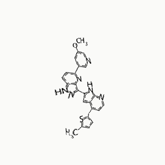 COc1cncc(-c2ccc3[nH]nc(-c4cc5c(-c6ccc(C)s6)ccnc5[nH]4)c3n2)c1